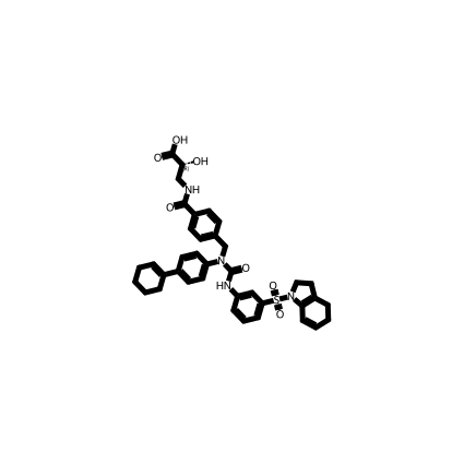 O=C(NC[C@@H](O)C(=O)O)c1ccc(CN(C(=O)Nc2cccc(S(=O)(=O)N3CCC4=C3C=CCC4)c2)c2ccc(C3=CCCCC3)cc2)cc1